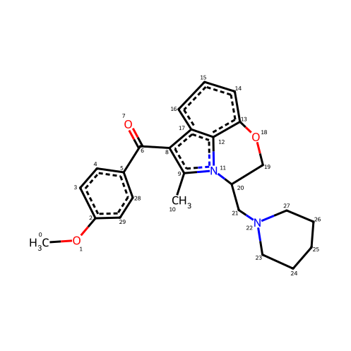 COc1ccc(C(=O)c2c(C)n3c4c(cccc24)OCC3CN2CCCCC2)cc1